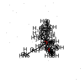 COCC1O[C@@H](O[C@H]2C(OC)C(OC)[C@@H](O[C@H]3C(OC)C(OC)[C@H](O[C@@H]4C(COS(=O)(=O)O)O[C@@H](O)C(OC)[C@H]4OC)O[C@H]3COC)O[C@H]2COC)C(OC)[C@@H](OC)[C@@H]1O[C@H]1OC(CNC(=O)CCCCCNC(=O)CCCCC2SCC3NC(=O)NC32)[C@@H](O[C@@H]2O[C@@H](COS(=O)(=O)O)[C@@H](O[C@H]3O[C@@H](COS(=O)(=O)O)[C@@H](OSOOO)C(OSOOO)C3OSOOO)C(OSOOO)C2OS(=O)(=O)O)[C@H](OC)C1OC